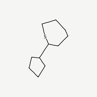 C1CCSC(C2CCCC2)CC1